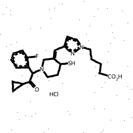 Cl.O=C(O)CCCCn1ccc(/C=C2/CN(C(C(=O)C3CC3)c3ccccc3F)CCC2S)n1